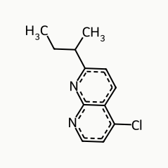 CCC(C)c1ccc2c(Cl)ccnc2n1